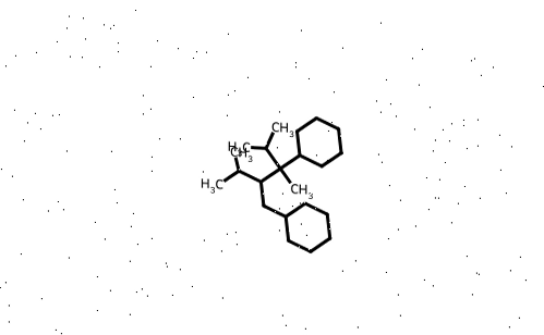 CC(C)C(CC1CCCCC1)C(C)(C(C)C)C1CCCCC1